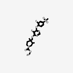 CC(C)OC(=O)N1CCC(C)(COc2ncnc(Oc3ccc(S(C)(=O)=O)cc3F)c2F)C(C)C1